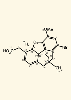 COc1cc(Br)c2c3c1O[C@@H]1C(CC(=O)O)=CC=C4C(C2)N(C)CC[C@@]431